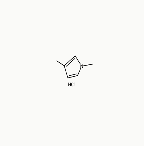 Cc1ccn(C)c1.Cl